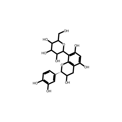 OCC1OC(c2c(O)cc(O)c3c2O[C@@H](c2ccc(O)c(O)c2)C(O)C3)C(O)C(O)C1O